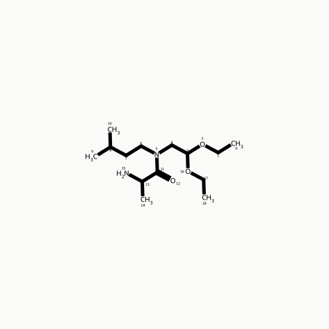 CCOC(CN(CCC(C)C)C(=O)C(C)N)OCC